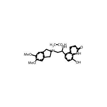 CC(=O)O.COc1cc2c(cc1OC)CC(NCC(O)c1ccc(O)c3[nH]c(=O)ccc13)C2